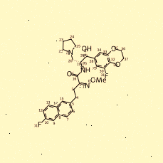 CON=C(CCc1ccc2cc(F)ccc2c1)C(=O)N[C@H](CN1CCCC1)[C@H](O)c1cc(F)c2c(c1)OCCO2